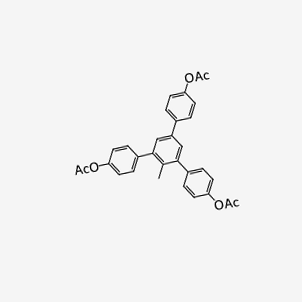 CC(=O)Oc1ccc(-c2cc(-c3ccc(OC(C)=O)cc3)c(C)c(-c3ccc(OC(C)=O)cc3)c2)cc1